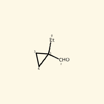 CCC1(C=O)CC1